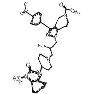 CC(=O)N1CCc2c(c(-c3ccc([N+](=O)[O-])cc3)nn2CC(O)CN2CCC(n3c(=O)n(C)c4ccccc43)CC2)C1